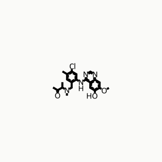 COc1cc2ncnc(Nc3cc(Cl)c(C)cc3CN(C)C(C)C(C)=O)c2cc1O